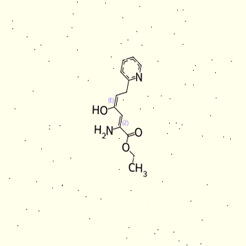 CCOC(=O)/C(N)=C/C(O)=C\Cc1ccccn1